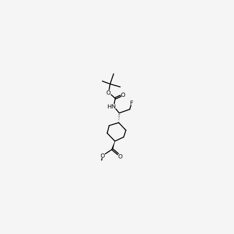 COC(=O)[C@H]1CC[C@H](C(CF)NC(=O)OC(C)(C)C)CC1